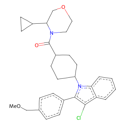 COCc1ccc(-c2c(Cl)c3ccccc3n2C2CCC(C(=O)N3CCOCC3C3CC3)CC2)cc1